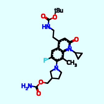 Cc1c(N2CCC(COC(N)=O)C2)c(F)cc2c(CCNC(=O)OC(C)(C)C)cc(=O)n(C3CC3)c12